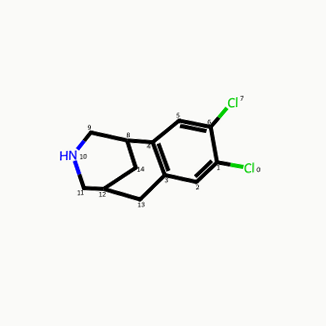 Clc1cc2c(cc1Cl)C1CNCC(C2)C1